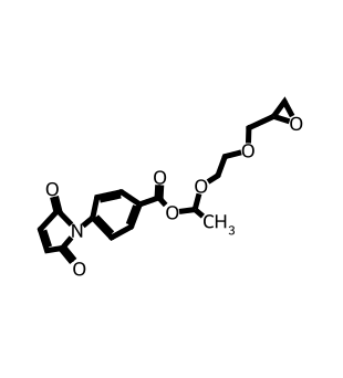 CC(OCCOCC1CO1)OC(=O)c1ccc(N2C(=O)C=CC2=O)cc1